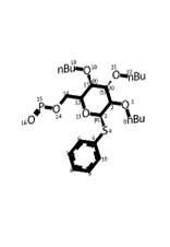 CCCCOC1[C@@H](Sc2ccccc2)OC(COP=O)[C@@H](OCCCC)[C@@H]1OCCCC